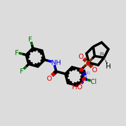 O=C(Nc1cc(F)c(F)c(F)c1)c1ccc(Cl)c(S(=O)(=O)C2C3CC[C@H]2C[C@H](/C=N/O)C3)c1